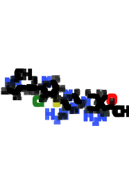 C[C@@H]1OCC2(CCN(c3cnc(Sc4ccnc(C#Cc5ccnn5C)c4Cl)c(N)n3)CC2)[C@@H]1N